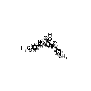 COc1ccc(-c2noc(N3CCC(C(=O)NCC4CCN(C)CC4)CC3)n2)cc1.O=CO